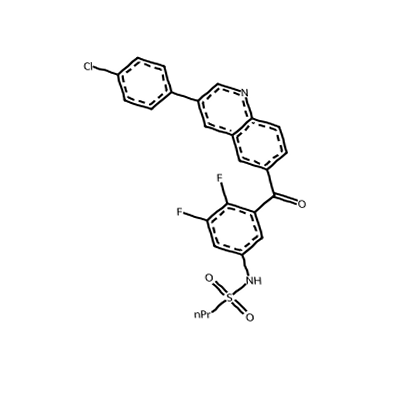 CCCS(=O)(=O)Nc1cc(F)c(F)c(C(=O)c2ccc3ncc(-c4ccc(Cl)cc4)cc3c2)c1